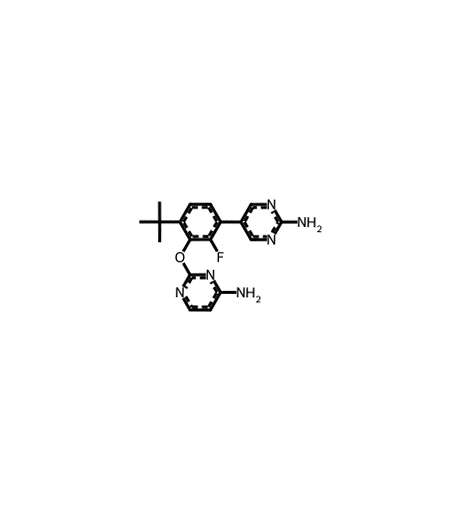 CC(C)(C)c1ccc(-c2cnc(N)nc2)c(F)c1Oc1nccc(N)n1